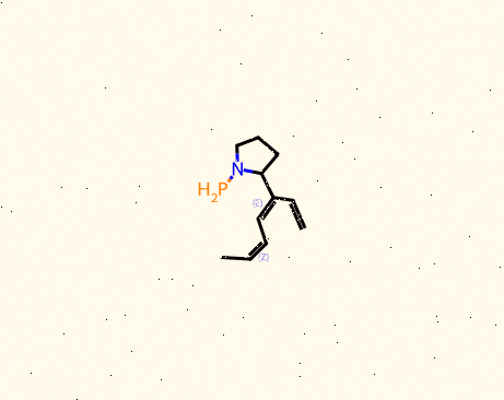 C=C/C(=C\C=C/C)C1CCCN1P